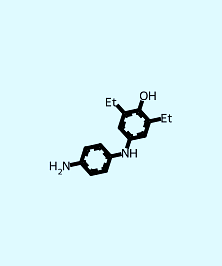 CCc1cc(Nc2ccc(N)cc2)cc(CC)c1O